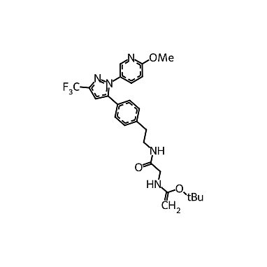 C=C(NCC(=O)NCCc1ccc(-c2cc(C(F)(F)F)nn2-c2ccc(OC)nc2)cc1)OC(C)(C)C